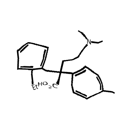 CCc1ccccc1C(CCN(C)C)(C(=O)O)c1ccc(C)cc1